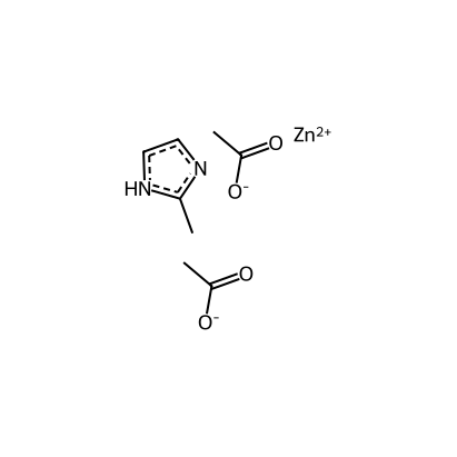 CC(=O)[O-].CC(=O)[O-].Cc1ncc[nH]1.[Zn+2]